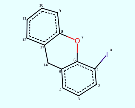 Ic1cccc2c1Oc1ccccc1C2